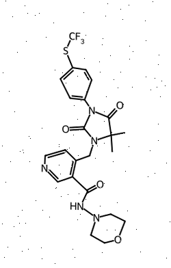 CC1(C)C(=O)N(c2ccc(SC(F)(F)F)cc2)C(=O)N1Cc1ccncc1C(=O)NN1CCOCC1